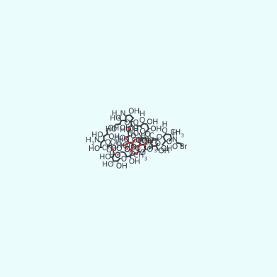 CC1C(O)[C@H](O[C@@H]2OC(CO[C@]3(C(=O)O)C[C@@H](O)[C@@H](N)C([C@H](O)C(O)CO)O3)[C@H](O)C(O)[C@@H]2O)[C@H](CO)O[C@H]1OC1C(O)[C@H](O)C(CO)O[C@@H]1OCC1O[C@@H](O[C@@H]2C(CO)O[C@@H](O[C@@H]3C(CO)O[C@@H](NC(=O)CBr)[C@@H](C)C3O)[C@@H](C)C2O)C(O)C(O[C@H]2O[C@H](CO)[C@@H](O)C(O)C2O[C@@H]2OC(CO)[C@@H](O[C@@H]3OC(CO[C@]4(C(=O)O)C[C@@H](O)[C@@H](N)C([C@H](O)C(O)CO)O4)C(O)[C@@H](O)[C@@H]3O)C(O)[C@@H]2C)[C@@H]1O